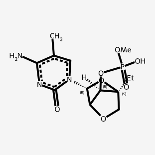 CC[C@@]12COC([C@H](n3cc(C)c(N)nc3=O)O1)[C@H]2OP(=O)(O)OC